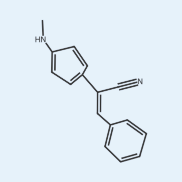 CNc1ccc(C(C#N)=Cc2ccccc2)cc1